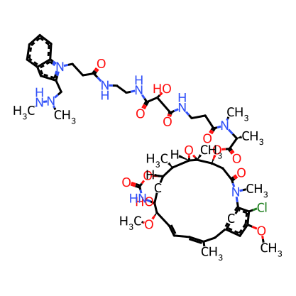 CNN(C)Cc1cc2ccccc2n1CCC(=O)NCCNC(=O)C(O)C(=O)NCCC(=O)N(C)[C@@H](C)C(=O)O[C@H]1CC(=O)N(C)c2cc(cc(OC)c2Cl)C/C(C)=C/C=C/[C@@H](OC)[C@@]2(O)C[C@H](OC(=O)N2)[C@@H](C)[C@@H]2O[C@]12C